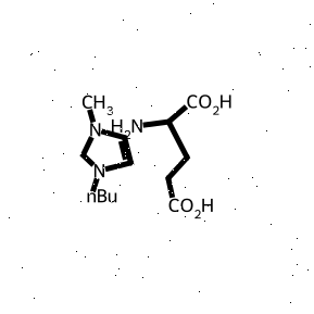 CCCCN1C=CN(C)C1.NC(CCC(=O)O)C(=O)O